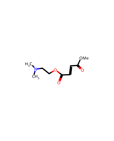 COC(=O)C=CC(=O)OCCN(C)C